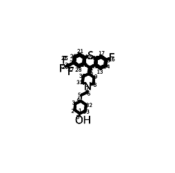 O[C@H]1CC[C@@H](CCN2CCC(=C3c4ccc(F)cc4Sc4ccc(C(F)(F)F)cc43)CC2)CC1